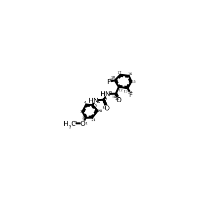 COc1ccc(NC(=O)NC(=O)c2c(F)cccc2F)cc1